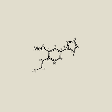 COc1cc(-n2cccn2)ccc1CCI